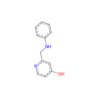 Oc1ccnc(CNc2ccccc2)c1